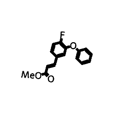 COC(=O)C=Cc1ccc(F)c(Oc2ccccc2)c1